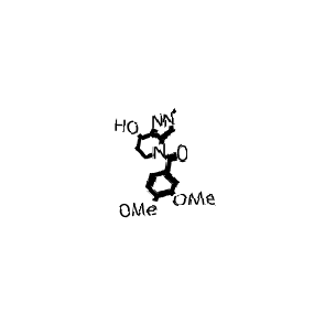 COc1ccc(C(=O)N2CCC(O)c3nn(C)cc32)cc1OC